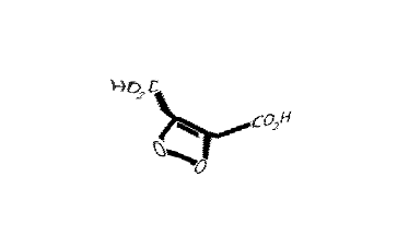 O=C(O)c1ooc1C(=O)O